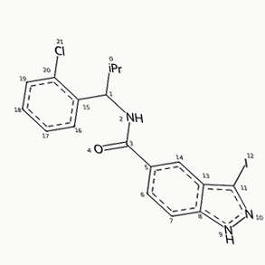 CC(C)C(NC(=O)c1ccc2[nH]nc(I)c2c1)c1ccccc1Cl